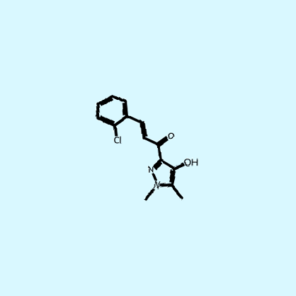 Cc1c(O)c(C(=O)/C=C/c2ccccc2Cl)nn1C